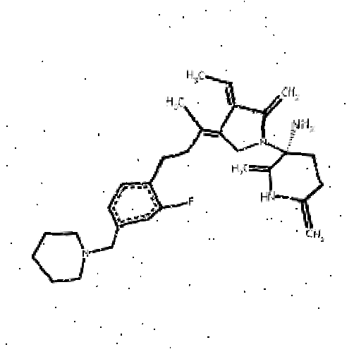 C=C1CC[C@](N)(N2CC(=C(/C)CCc3ccc(CN4CCCCC4)cc3F)/C(=C\C)C2=C)C(=C)N1